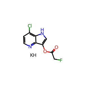 O=C(CF)Oc1c[nH]c2c(Cl)ccnc12.[KH]